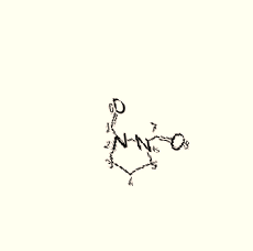 O=CN1CCCN1C=O